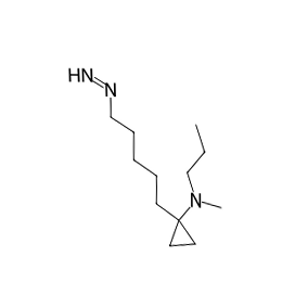 CCCN(C)C1(CCCCCN=N)CC1